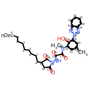 CCCCCCCCCCCCCCCCCCC1CC(=O)N(NC(=O)C(=O)N(C)c2cc(C)cc(-n3nc4ccccc4n3)c2O)C1=O